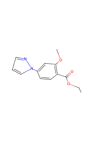 CCOC(=O)c1ccc(-n2cccn2)cc1OC